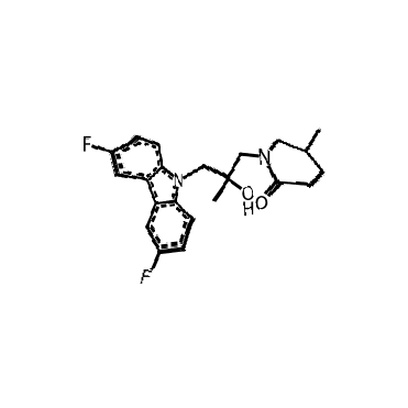 CC1CCC(=O)N(CC(C)(O)Cn2c3ccc(F)cc3c3cc(F)ccc32)C1